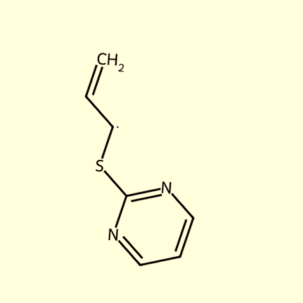 C=C[CH]Sc1ncccn1